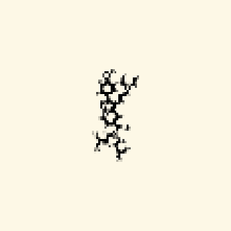 CCN(CC)C/C=C/c1c(-c2ccc(OC)cc2)nn2ccc(C(=O)N(CCC(C)C)CCC(C)C)cc12